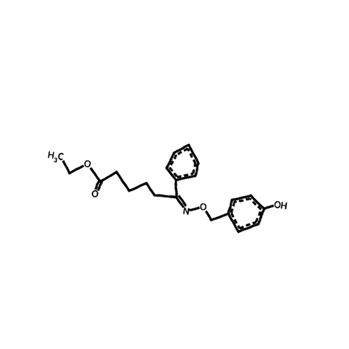 CCOC(=O)CCCCC(=NOCc1ccc(O)cc1)c1ccccc1